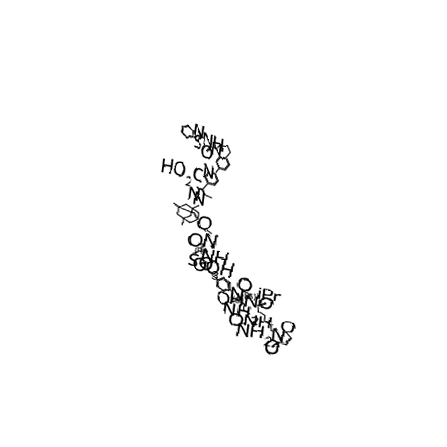 Cc1c(-c2ccc(-c3ccc4c(c3)N(C(=O)Nc3nc5ccccc5s3)CCC4)nc2C(=O)O)cnn1CC12CC3(C)CC(C)(C1)CC(OCCN(C)C(=O)[C@H](CS(=O)(=O)O)NC(=O)OCc1ccc(N(C(=O)[C@@H](NC(=O)CCCCCN4C(=O)C=CC4=O)C(C)C)[C@@H](CCCNC(N)=O)C(N)=O)cc1)(C3)C2